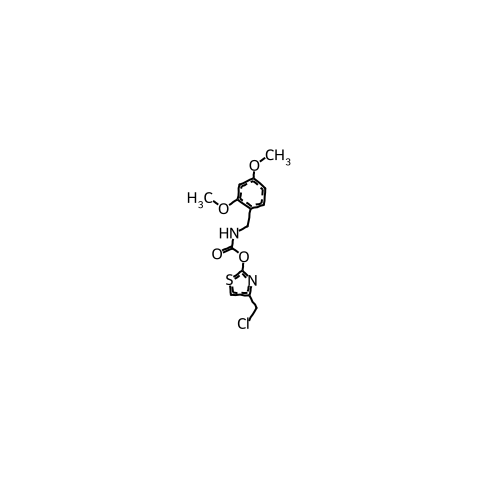 COc1ccc(CNC(=O)Oc2nc(CCl)cs2)c(OC)c1